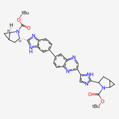 CC(C)(C)OC(=O)N1C(c2ncc(-c3cnc4cc(-c5ccc6nc([C@@H]7CC8C[C@H]8N7C(=O)OC(C)(C)C)[nH]c6c5)ccc4n3)[nH]2)CC2CC21